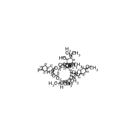 CC[C@H]1OC(=O)[C@H](C)[C@@H](OC(=O)Cc2ccc(F)cc2)[C@H](C)[C@@H](OC2OC(C)CC(N(C)C)C2O)[C@](C)(OC)C[C@@H](C)/C(=N\N=C\c2ccc(OC)cc2)[C@H](C)[C@@H](O)[C@]1(C)O